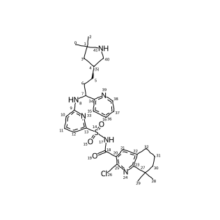 CC1(C)C[C@H](CCC(Nc2cccc(S(=O)(=O)NC(=O)c3cc4c(nc3Cl)C(C)(C)CCC4)n2)c2ccccn2)CN1